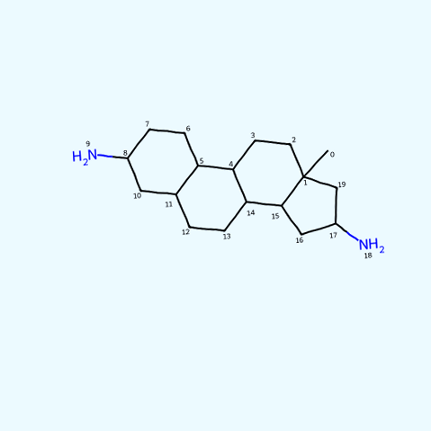 CC12CCC3C4CCC(N)CC4CCC3C1CC(N)C2